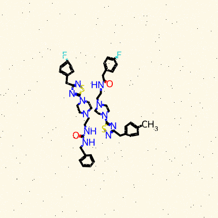 Cc1ccc(Cc2nsc(N3CCN(CCNC(=O)Cc4ccc(F)cc4)CC3)n2)cc1.O=C(NCCN1CCN(c2nc(Cc3ccc(F)cc3)ns2)CC1)NCc1ccccc1